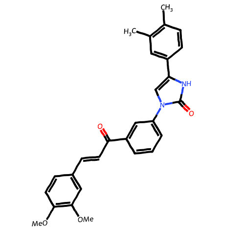 COc1ccc(C=CC(=O)c2cccc(-n3cc(-c4ccc(C)c(C)c4)[nH]c3=O)c2)cc1OC